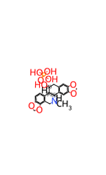 CN1Cc2c(ccc3c2OCO3)[C@@H]2[C@H]1c1cc3c(cc1C[C@@H]2O)OCO3.O=P(O)(O)O